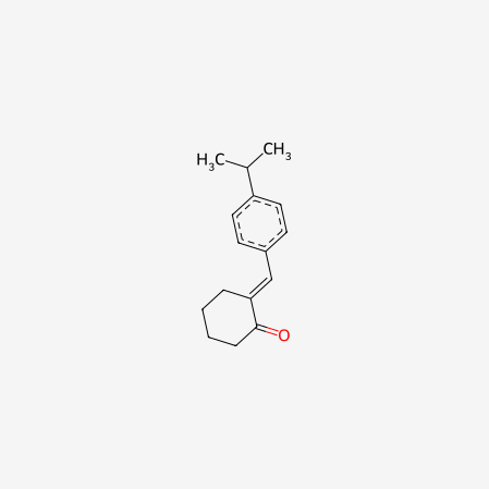 CC(C)c1ccc(/C=C2\CCCCC2=O)cc1